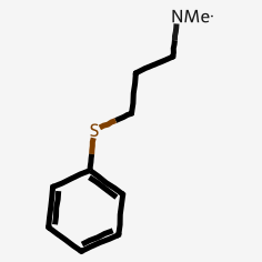 C[N]CCCSc1ccccc1